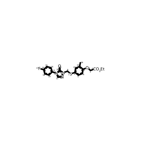 CCOC(=O)COc1ccc(SCn2ncn(-c3ccc(F)cc3)c2=O)cc1C